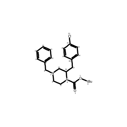 CC(C)(C)OC(=O)N1CCN(Cc2ccccc2)CC1Cc1ccc(Cl)cc1